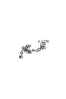 Cc1ncsc1-c1ccc(CNC(=O)[C@@H]2C[C@@H](O)CN2C(=O)C(NC(=O)CCOCCOc2ccc(N3C(=S)N(c4ccc(C#N)c(C(F)(F)F)c4)C(=O)C3(C)C)cc2)C(C)(C)C)cc1